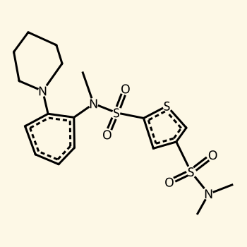 CN(C)S(=O)(=O)c1csc(S(=O)(=O)N(C)c2ccccc2N2CCCCC2)c1